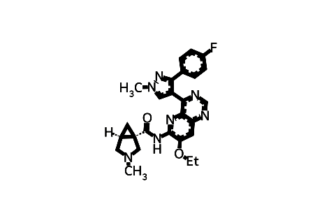 CCOc1cc2ncnc(-c3cn(C)nc3-c3ccc(F)cc3)c2nc1NC(=O)[C@@]12C[C@@H]1CN(C)C2